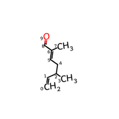 C=CC(C)C/C=C(\C)C=O